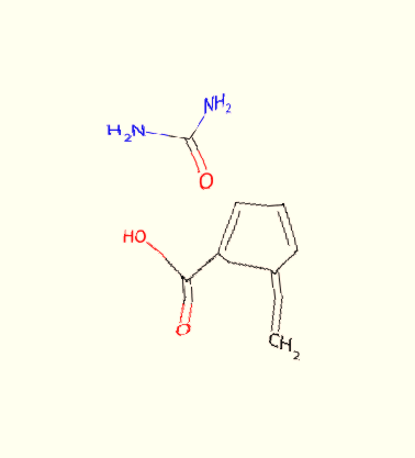 C=C1C=CC=C1C(=O)O.NC(N)=O